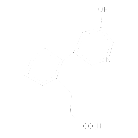 O=C(O)CCc1ccccc1-c1cncc(O)c1